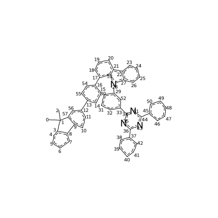 CC1(C)c2ccccc2-c2ccc(-c3ccc(-c4cccc5c6ccccc6n(-c6cccc(-c7nc(-c8ccccc8)nc(-c8ccccc8)n7)c6)c45)cc3)cc21